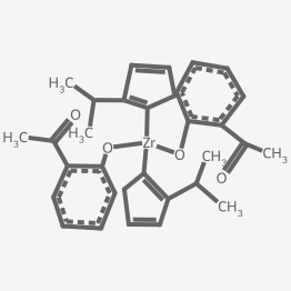 CC(=O)c1ccccc1[O][Zr]([O]c1ccccc1C(C)=O)([C]1=C(C(C)C)C=CC1)[C]1=C(C(C)C)C=CC1